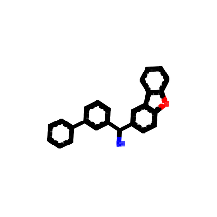 N=C(c1cccc(-c2ccccc2)c1)c1ccc2oc3ccccc3c2c1